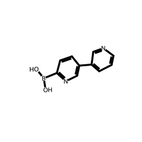 OB(O)c1ccc(-c2cccnc2)cn1